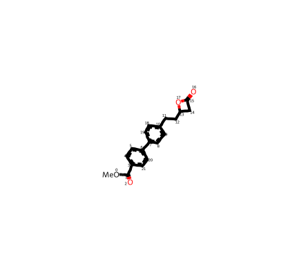 COC(=O)c1ccc(-c2ccc(CCC3CC(=O)O3)cc2)cc1